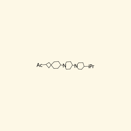 CC(=O)C1CC2(CCC(N3CCC(N4CCC(C(C)C)CC4)CC3)CC2)C1